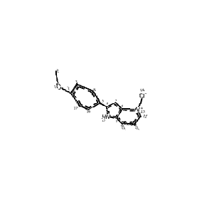 COc1ccc(-c2cc3c(ccc[n+]3[O-])[nH]2)cc1